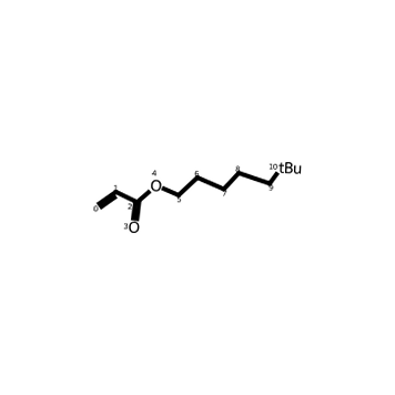 C=CC(=O)OCCCCCC(C)(C)C